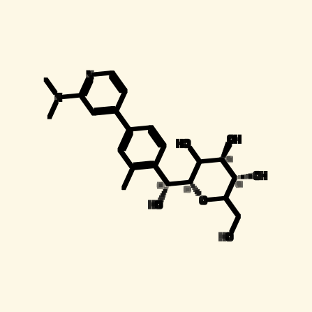 Cc1cc(-c2ccnc(N(C)C)c2)ccc1[C@@H](O)[C@H]1OC(CO)[C@@H](O)[C@H](O)C1O